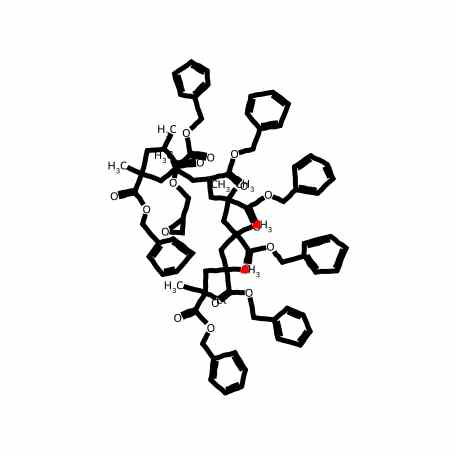 CCC(C)(CC(C)(CC(C)(CC(C)(CC(C)(CC(C)(CC(C)(CC(C)C(=O)OCC1CO1)C(=O)OCc1ccccc1)C(=O)OCc1ccccc1)C(=O)OCc1ccccc1)C(=O)OCc1ccccc1)C(=O)OCc1ccccc1)C(=O)OCc1ccccc1)C(=O)OCc1ccccc1